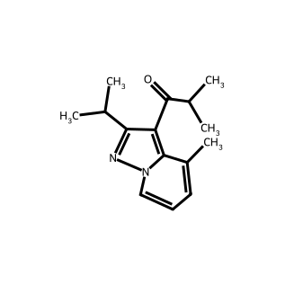 Cc1cccn2nc(C(C)C)c(C(=O)C(C)C)c12